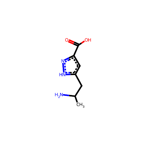 CC(N)Cc1cc(C(=O)O)n[nH]1